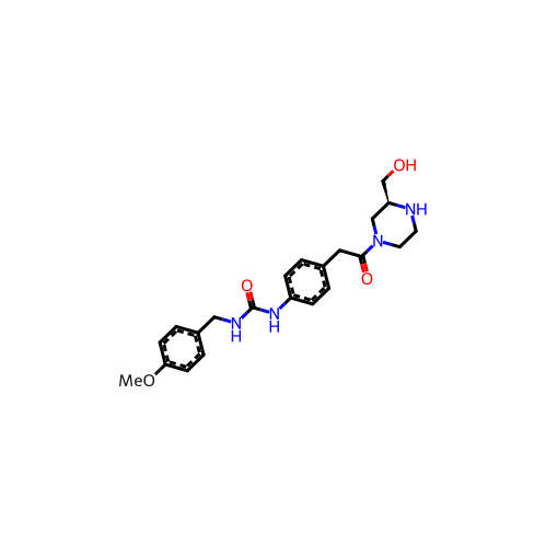 COc1ccc(CNC(=O)Nc2ccc(CC(=O)N3CCN[C@H](CO)C3)cc2)cc1